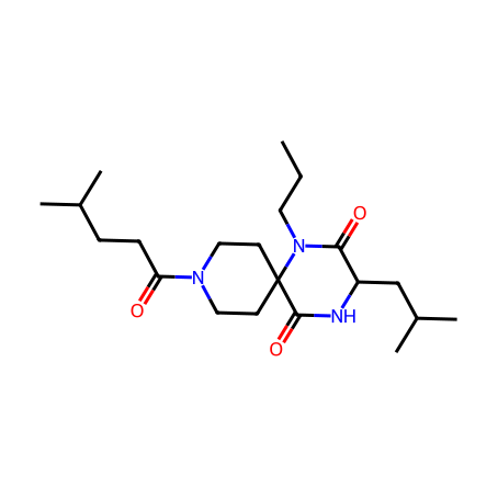 CCCN1C(=O)C(CC(C)C)NC(=O)C12CCN(C(=O)CCC(C)C)CC2